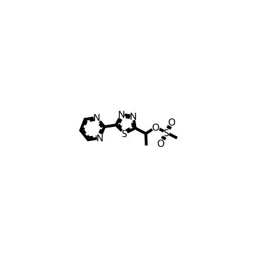 CC(OS(C)(=O)=O)c1nnc(-c2ncccn2)s1